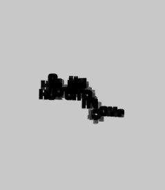 COc1ccccc1CNCc1ccc(CCNC(O)Cc2ccc(O)c3[nH]c(=O)sc23)cc1.Cl.Cl